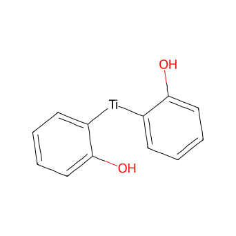 Oc1cccc[c]1[Ti][c]1ccccc1O